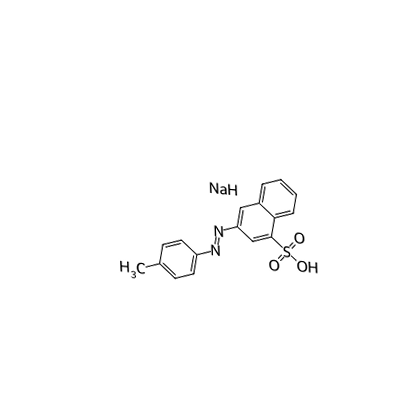 Cc1ccc(/N=N/c2cc(S(=O)(=O)O)c3ccccc3c2)cc1.[NaH]